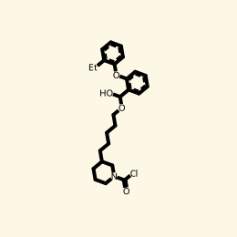 CCc1ccccc1Oc1ccccc1C(O)OCCCCCC1CCCN(C(=O)Cl)C1